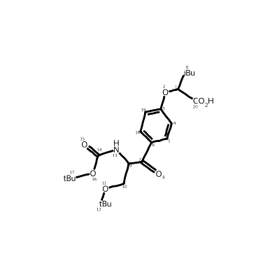 CCC(C)C(Oc1ccc(C(=O)C(COC(C)(C)C)NC(=O)OC(C)(C)C)cc1)C(=O)O